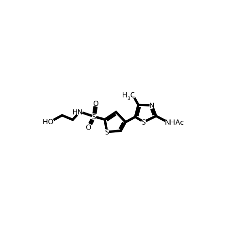 CC(=O)Nc1nc(C)c(-c2csc(S(=O)(=O)NCCO)c2)s1